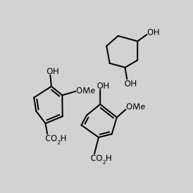 COc1cc(C(=O)O)ccc1O.COc1cc(C(=O)O)ccc1O.OC1CCCC(O)C1